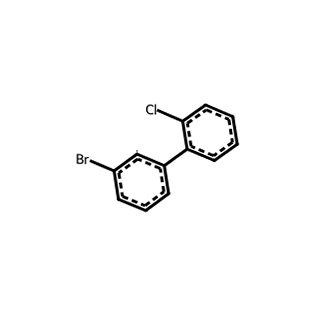 Clc1ccccc1-c1[c]c(Br)ccc1